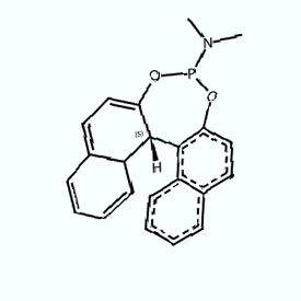 CN(C)P1OC2=CC=C3C=CC=CC3[C@H]2c2c(ccc3ccccc23)O1